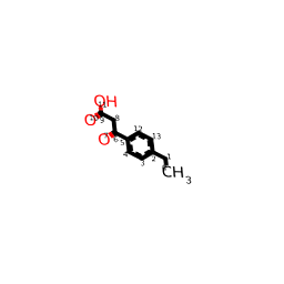 CCc1ccc(C(=O)CC(=O)O)cc1